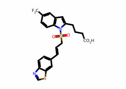 O=C(O)CCCc1cc2cc(C(F)(F)F)ccc2n1S(=O)(=O)CC=Cc1ccc2ncsc2c1